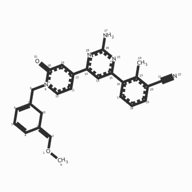 COC=C1C=CC=C(Cn2ccc(-c3cc(-c4cccc(C#N)c4C)nc(N)n3)cc2=O)C1